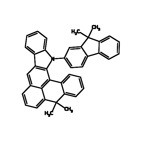 CC1(C)c2ccccc2-c2ccc(-n3c4ccccc4c4cc5cccc6c5c(c43)-c3ccccc3C6(C)C)cc21